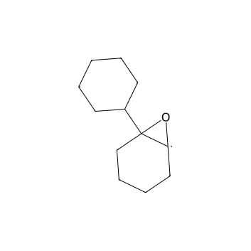 C1CCC(C23CCCC[C]2O3)CC1